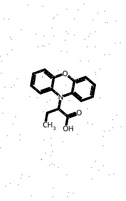 CCC(C(=O)O)N1c2ccccc2Oc2ccccc21